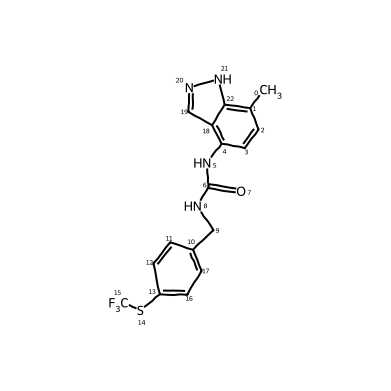 Cc1ccc(NC(=O)NCc2ccc(SC(F)(F)F)cc2)c2cn[nH]c12